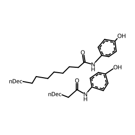 CCCCCCCCCCCC(=O)Nc1ccc(O)cc1.CCCCCCCCCCCCCCCCCC(=O)Nc1ccc(O)cc1